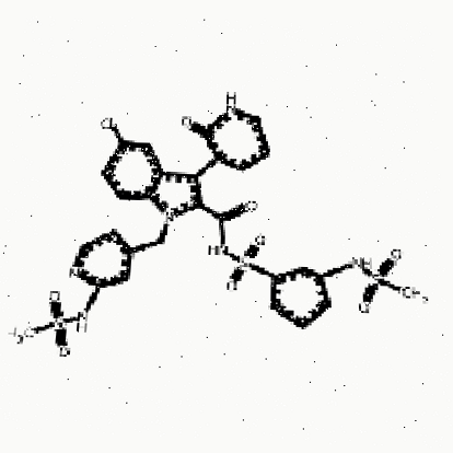 CS(=O)(=O)Nc1cccc(S(=O)(=O)NC(=O)c2c(-c3ccc[nH]c3=O)c3cc(Cl)ccc3n2Cc2ccnc(NS(C)(=O)=O)c2)c1